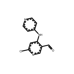 O=Cc1cnc(Cl)cc1Nc1ccncc1